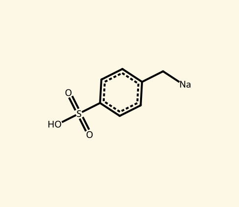 O=S(=O)(O)c1ccc([CH2][Na])cc1